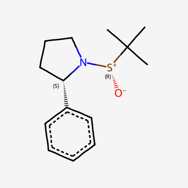 CC(C)(C)[S@+]([O-])N1CCC[C@H]1c1ccccc1